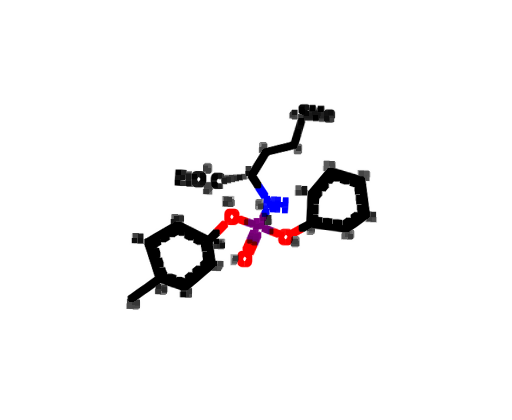 CCOC(=O)[C@H](CCSC)NP(=O)(Oc1ccccc1)Oc1ccc(C)cc1